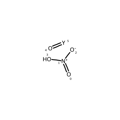 O=[N+]([O-])O.[O]=[Y]